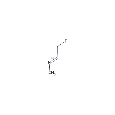 C/N=C/CF